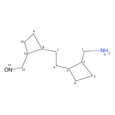 NCC1CCC1CCC1CCC1CN=O